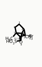 CC12CCC([C@H](Br)C1=O)C2(C)CS(=O)(=O)O